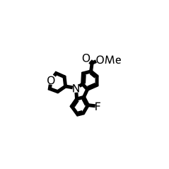 COC(=O)c1ccc2c3c(F)cccc3n(C3CCOCC3)c2c1